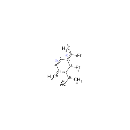 C=C/C=C\C(=C(/C)CC)C(CC)CC(C)C(C)=O